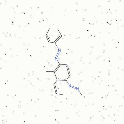 C/C=C\C(=C/C)N=Nc1ccc(N=NC)c(/C=C\C)c1C